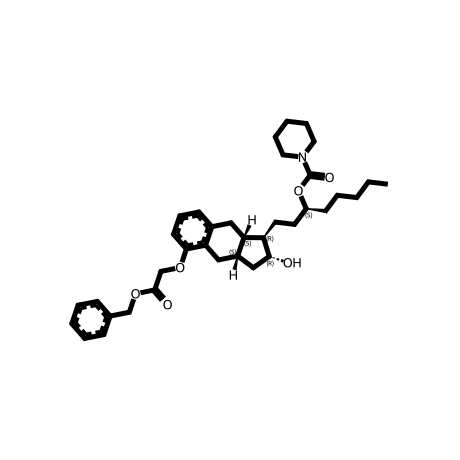 CCCCC[C@@H](CC[C@@H]1[C@H]2Cc3cccc(OCC(=O)OCc4ccccc4)c3C[C@H]2C[C@H]1O)OC(=O)N1CCCCC1